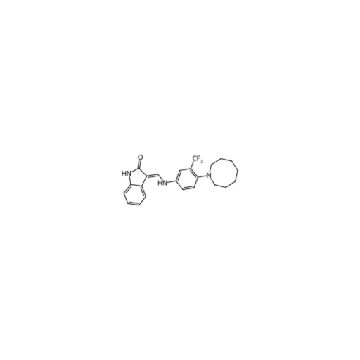 O=C1Nc2ccccc2C1=CNc1ccc(N2CCCCCCC2)c(C(F)(F)F)c1